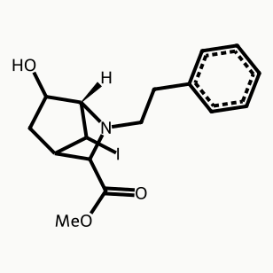 COC(=O)C1C2CC(O)[C@@H](C2I)N1CCc1ccccc1